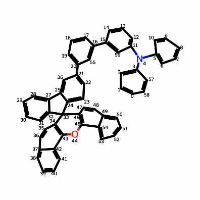 c1ccc(N(c2ccccc2)c2cccc(-c3cccc(-c4ccc5c(c4)-c4ccccc4C54c5ccc6ccccc6c5Oc5c4ccc4ccccc54)c3)c2)cc1